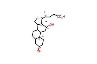 C[C@H](CCC(=O)O)[C@H]1CCC2C3CCC4C[C@H](O)CC[C@]4(C)C3C[C@H](O)[C@@]21C